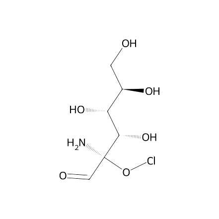 N[C@@](C=O)(OCl)[C@@H](O)[C@H](O)[C@H](O)CO